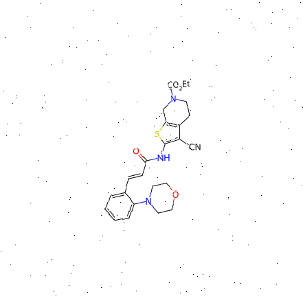 CCOC(=O)N1CCc2c(sc(NC(=O)/C=C/c3ccccc3N3CCOCC3)c2C#N)C1